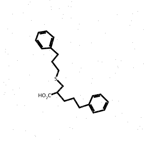 O=C(O)C(CCCc1ccccc1)CSCCCc1ccccc1